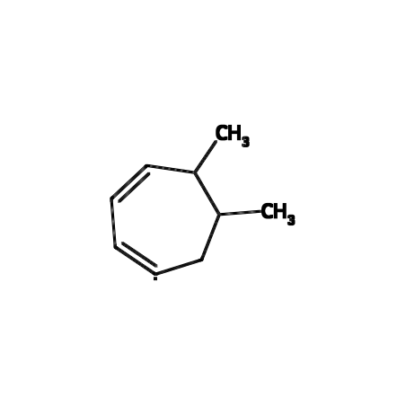 CC1C=CC=[C]CC1C